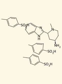 CN1CC[C@@H](N)CC1c1nc2ccccc2[nH]1.Cc1ccc(S(=O)(=O)O)cc1.Cc1ccc(S(=O)(=O)O)cc1.Cc1ccc(S(=O)(=O)O)cc1